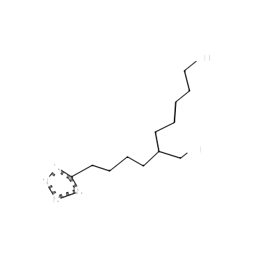 CCCCCCC(CC)CCCCc1nn[nH]n1